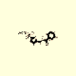 CC(=O)NS(=O)(=O)c1ccc(CNC(=O)c2ccccc2)s1